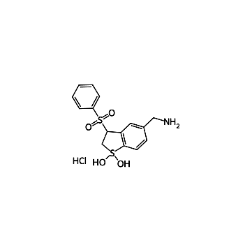 Cl.NCc1ccc2c(c1)C(S(=O)(=O)c1ccccc1)CS2(O)O